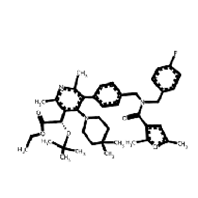 CCOC(=O)[C@@H](OC(C)(C)C)c1c(C)nc(C)c(-c2ccc(CN(Cc3ccc(F)cc3)C(=O)c3cc(C)oc3C)cc2)c1N1CCC(C)(C)CC1